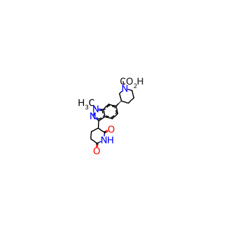 Cn1nc(C2CCC(=O)NC2=O)c2ccc([C@@H]3CCCN(C(=O)O)C3)cc21